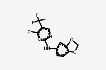 FC(F)(F)c1cnc(Nc2ccc3c(c2)OCO3)nc1Cl